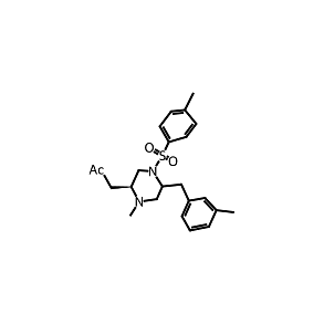 CC(=O)C[C@H]1CN(S(=O)(=O)c2ccc(C)cc2)C(Cc2cccc(C)c2)CN1C